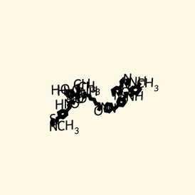 Cc1ccc(NC(=O)c2ccc(CN3CCN(C(=O)CCCCCC(=O)NC(C(=O)N4C[C@H](O)C[C@H]4C(=O)NCc4ccc(-c5scnc5C)cc4)C(C)(C)C)CC3)cc2)cc1Nc1nccc(-c2cccnc2)n1